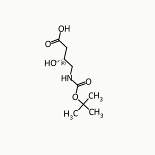 CC(C)(C)OC(=O)NC[C@H](O)CC(=O)O